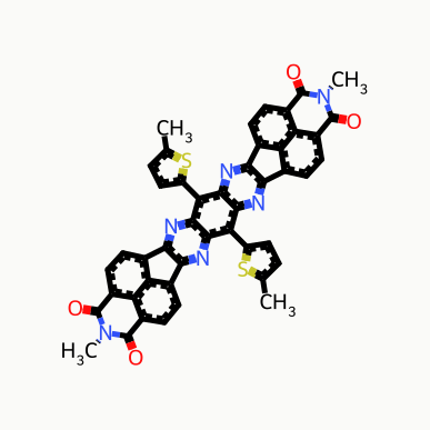 Cc1ccc(-c2c3nc4c(nc3c(-c3ccc(C)s3)c3nc5c(nc23)-c2ccc3c6c(ccc-5c26)C(=O)N(C)C3=O)-c2ccc3c5c(ccc-4c25)C(=O)N(C)C3=O)s1